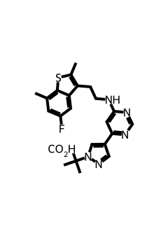 Cc1sc2c(C)cc(F)cc2c1CCNc1cc(-c2cnn(C(C)(C)C(=O)O)c2)ncn1